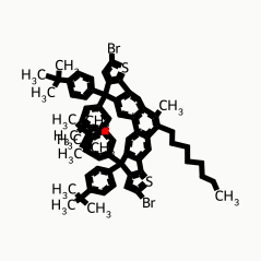 CCCCCCCCc1c(C)c2cc3c(cc2c2cc4c(cc12)-c1sc(Br)cc1C4(c1ccc(C(C)(C)C)cc1)c1ccc(C(C)(C)C)cc1)C(c1ccc(C(C)(C)C)cc1)(c1ccc(C(C)(C)C)cc1)c1cc(Br)sc1-3